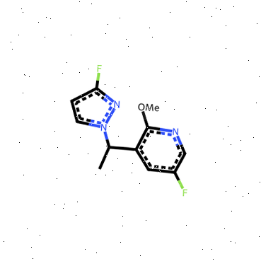 COc1ncc(F)cc1C(C)n1ccc(F)n1